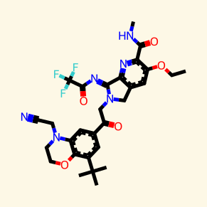 CCOc1cc2c(nc1C(=O)NC)/C(=N/C(=O)C(F)(F)F)N(CC(=O)c1cc3c(c(C(C)(C)C)c1)OCCN3CC#N)C2